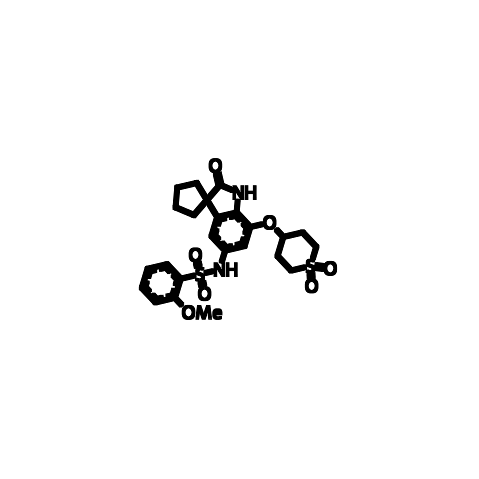 COc1ccccc1S(=O)(=O)Nc1cc(OC2CCS(=O)(=O)CC2)c2c(c1)C1(CCCC1)C(=O)N2